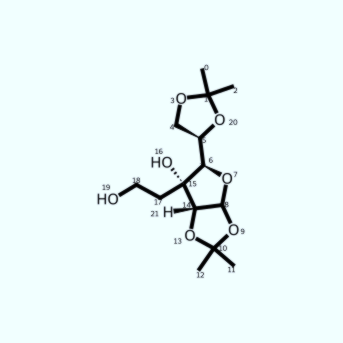 CC1(C)OC[C@H]([C@H]2OC3OC(C)(C)O[C@@H]3[C@@]2(O)CCO)O1